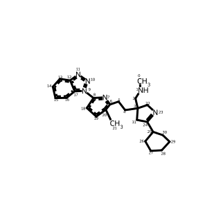 CNCC1(CCc2nc(-n3nnc4ccccc43)ccc2C)CN=C(C2CCCCC2)C1